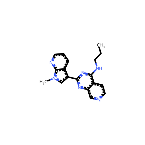 CCCNc1nc(-c2cn(C)c3ncccc23)nc2cnccc12